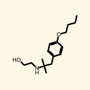 CCCCOc1ccc(CC(C)(C)NCCO)cc1